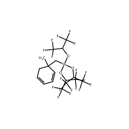 CC1([CH2][Sn]([O]C(C(F)(F)F)C(F)(F)F)([O]C(C(F)(F)F)C(F)(F)F)[O]C(C(F)(F)F)C(F)(F)F)C=CC=CC1